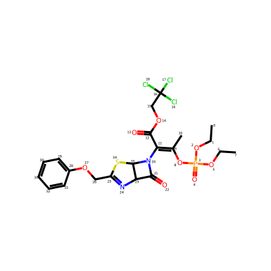 CCOP(=O)(OCC)OC(C)=C(C(=O)OCC(Cl)(Cl)Cl)N1C(=O)C2N=C(COc3ccccc3)SC21